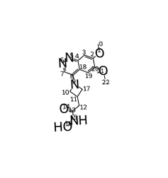 COc1cc2nncc(N3CC(CC(=O)NO)C3)c2cc1OC